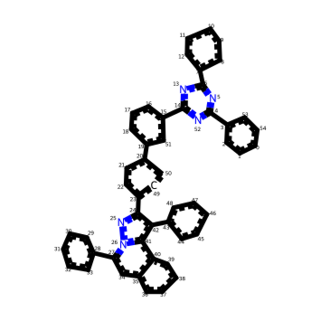 c1ccc(-c2nc(-c3ccccc3)nc(-c3cccc(-c4ccc(-c5nn6c(-c7ccccc7)cc7ccccc7c6c5-c5ccccc5)cc4)c3)n2)cc1